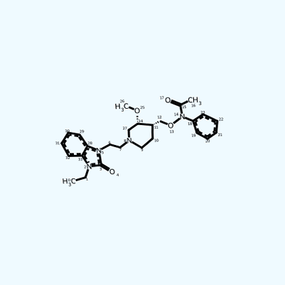 CCn1c(=O)n(CCN2CC[C@@H](CON(C(C)=O)c3ccccc3)[C@@H](OC)C2)c2ccccc21